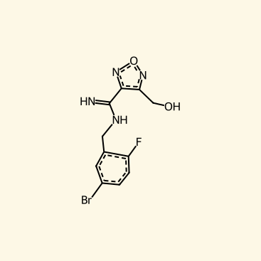 N=C(NCc1cc(Br)ccc1F)c1nonc1CO